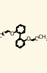 C=C=COc1ccccc1-c1ccccc1OC=C=C